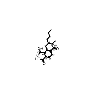 CCCCC(CC)Cc1c(C(=O)O)ccc(C(=O)O)c1C(=O)O